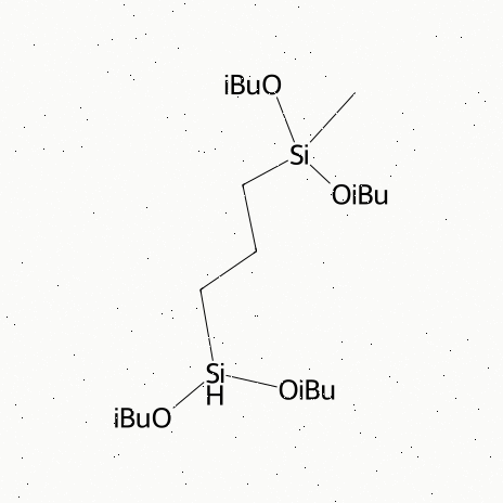 CC(C)CO[SiH](CCC[Si](C)(OCC(C)C)OCC(C)C)OCC(C)C